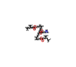 CC(C)CCC(C=CC(=O)OCCCC(C)C(C)CCCCC(CCCCC(C)C(C)CCCOC(=O)C=CC(CCC(C)C)C(C)C)OC(=O)CCCN(C)C)C(C)C